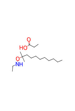 CCC(=O)O.CCCCCCCCCC(C)(C)ONCC